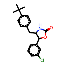 CC(C)(C)c1ccc(CC2NC(=O)OC2c2cccc(Cl)c2)cc1